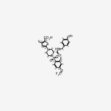 CCCc1ccc(CNC(=O)[C@H]2CN(c3nc(C)c(C(=O)O)s3)CCN2S(=O)(=O)c2ccc(OC(F)(F)F)cc2F)cc1